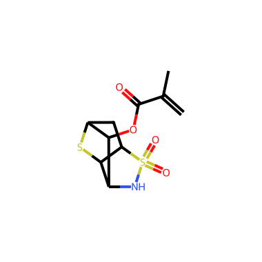 C=C(C)C(=O)OC1C2CC3C(S2)C1NS3(=O)=O